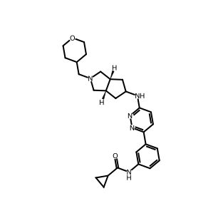 O=C(Nc1cccc(-c2ccc(NC3C[C@@H]4CN(CC5CCOCC5)C[C@@H]4C3)nn2)c1)C1CC1